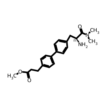 COC(=O)CCc1ccc(-c2ccc(C[C@H](N)C(=O)N(C)C)cc2)cc1